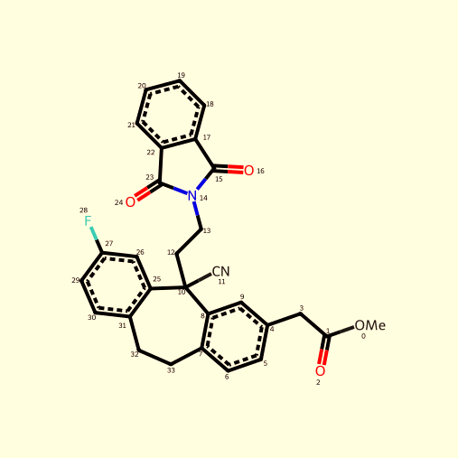 COC(=O)Cc1ccc2c(c1)C(C#N)(CCN1C(=O)c3ccccc3C1=O)c1cc(F)ccc1CC2